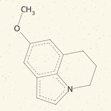 COc1cc2c3c(ccn3CCC2)c1